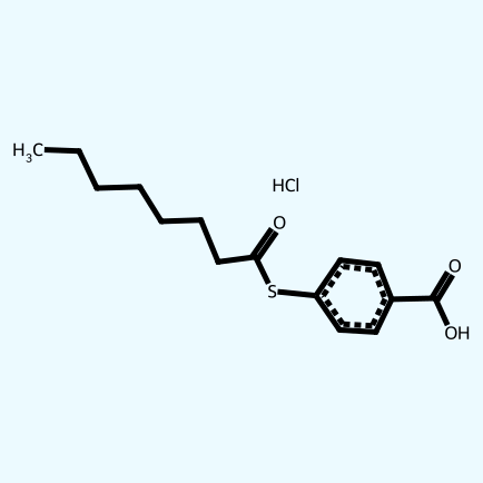 CCCCCCCC(=O)Sc1ccc(C(=O)O)cc1.Cl